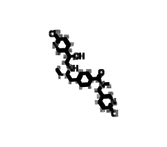 CC[C@@H](Cc1ccc(C(=O)N(C)Cc2ccc(Cl)nc2)cc1)NC[C@H](O)c1ccc(Cl)nc1